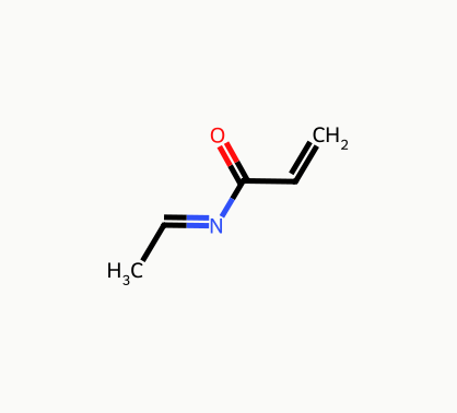 C=CC(=O)N=CC